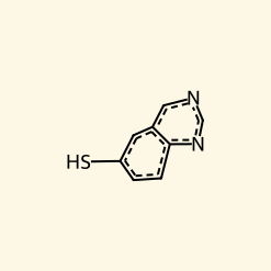 Sc1ccc2ncncc2c1